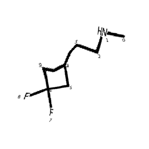 CNCC[C]1CC(F)(F)C1